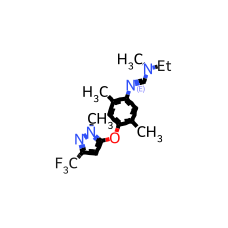 CCN(C)/C=N/c1cc(C)c(Oc2cc(C(F)(F)F)nn2C)cc1C